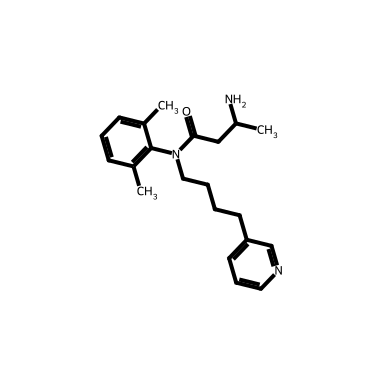 Cc1cccc(C)c1N(CCCCc1cccnc1)C(=O)CC(C)N